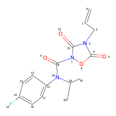 C=CCn1c(=O)on(C(=O)N(c2ccc(F)cc2)C(C)C)c1=O